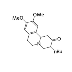 CCCCC1CN2CCc3cc(OC)c(OC)cc3C2CC1=O